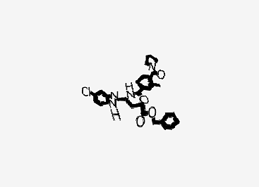 Cc1cc(C(=O)NC(CCC(=O)OCc2ccccc2)c2nc3cc(Cl)ccc3[nH]2)ccc1C(=O)N1CCCC1